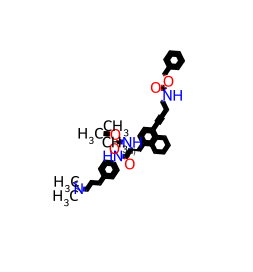 CN(C)CCCc1ccc(NC(=O)[C@H](Cc2ccc(C#CCCNC(=O)OCc3ccccc3)c3c2CCCC3)NC(=O)OC(C)(C)C)cc1